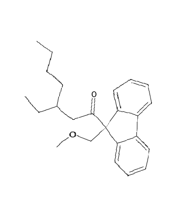 CCCCC(CC)CC(=O)C1(COC)c2ccccc2-c2ccccc21